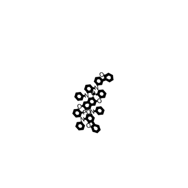 O=P12c3c4cccc3N(c3ccc5oc6ccccc6c5c3)c3cccc(c31)N(c1ccccc1)c1c2c(cc2c3c5c(cc12)Oc1cccc2c1P5(=O)c1c(cc5c(oc6ccccc65)c1N2c1ccccc1)N3c1ccccc1)O4